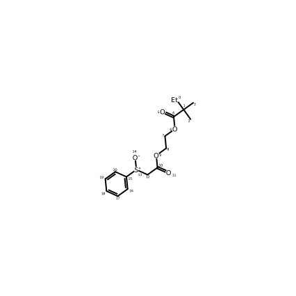 CCC(C)(C)C(=O)OCCOC(=O)C[S+]([O-])c1ccccc1